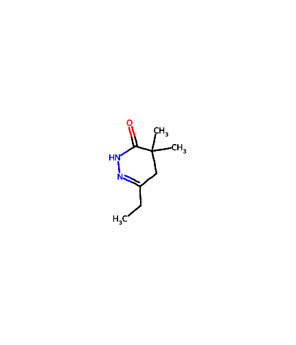 CCC1=NNC(=O)C(C)(C)C1